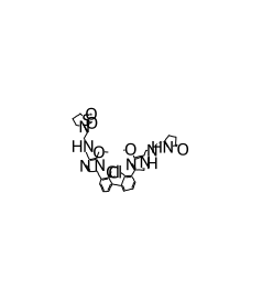 COc1nc(-c2cccc(-c3cccc(-c4cnc(CNC[C@@H]5CCC(=O)N5)c(OC)n4)c3Cl)c2Cl)cnc1CNCCN1CCCS1(=O)=O